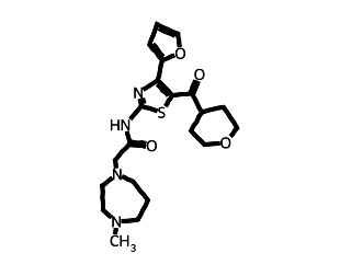 CN1CCCN(CC(=O)Nc2nc(-c3ccco3)c(C(=O)C3CCOCC3)s2)CC1